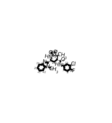 CN1[C@H](C(=O)Nc2ccc(F)c(Cl)c2)C[C@H](c2nc3ccccc3n2C)NS1(=O)=O